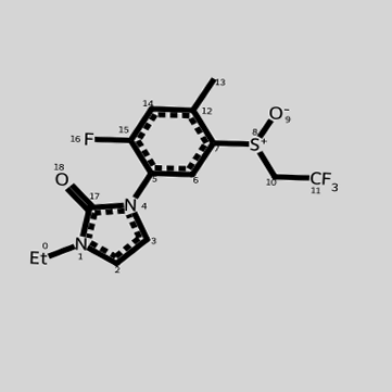 CCn1ccn(-c2cc([S+]([O-])CC(F)(F)F)c(C)cc2F)c1=O